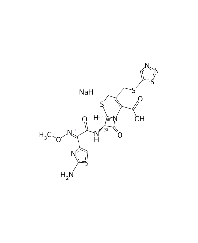 CO/N=C(/C(=O)N[C@@H]1C(=O)N2C(C(=O)O)=C(CSc3cnns3)CS[C@H]12)c1csc(N)n1.[NaH]